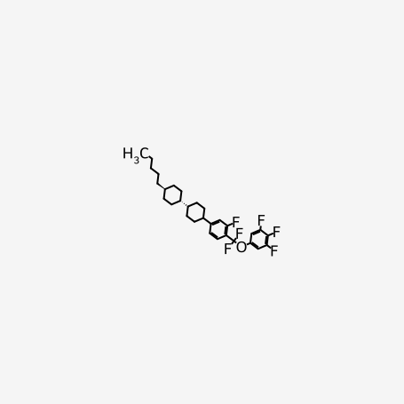 CCCCC[C@H]1CC[C@H](C2CCC(c3ccc(C(F)(F)Oc4cc(F)c(F)c(F)c4)c(F)c3)CC2)CC1